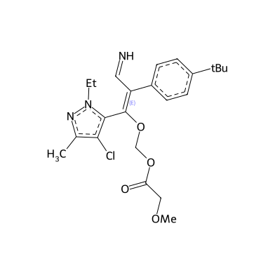 CCn1nc(C)c(Cl)c1/C(OCOC(=O)COC)=C(\C=N)c1ccc(C(C)(C)C)cc1